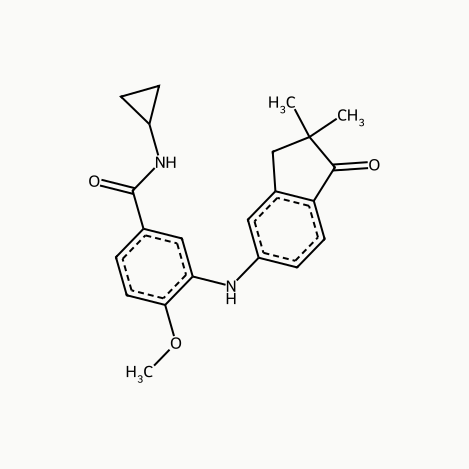 COc1ccc(C(=O)NC2CC2)cc1Nc1ccc2c(c1)CC(C)(C)C2=O